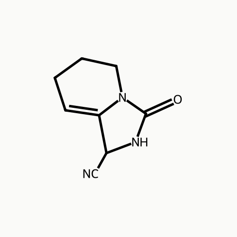 N#CC1NC(=O)N2CCCC=C12